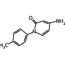 Cc1ccc(-n2ccc(N)cc2=O)cc1